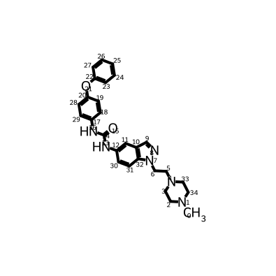 CN1CCN(CCn2ncc3cc(NC(=O)Nc4ccc(Oc5ccccc5)cc4)ccc32)CC1